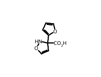 O=C(O)C1(c2ccco2)C=CON1